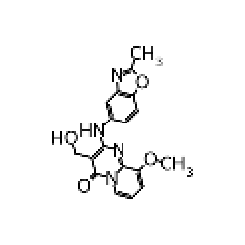 COc1cccn2c(=O)c(CO)c(Nc3ccc4oc(C)nc4c3)nc12